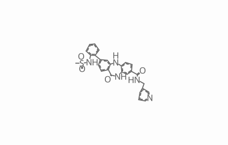 CS(=O)(=O)Nc1ccccc1-c1ccc2c(c1)Nc1ccc(C(=O)NCc3cccnc3)cc1NC2=O